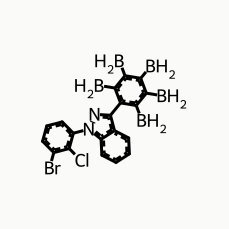 Bc1c(B)c(B)c(-c2nn(-c3cccc(Br)c3Cl)c3ccccc23)c(B)c1B